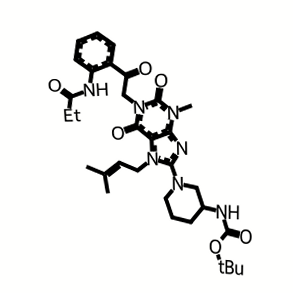 CCC(=O)Nc1ccccc1C(=O)Cn1c(=O)c2c(nc(N3CCCC(NC(=O)OC(C)(C)C)C3)n2CC=C(C)C)n(C)c1=O